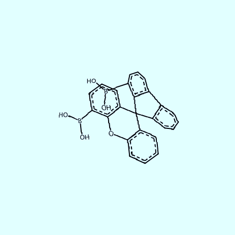 OB(O)c1cccc2c1Oc1ccccc1C21c2ccccc2-c2cccc(B(O)O)c21